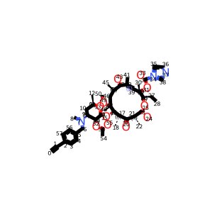 C#Cc1ccc(CN(C)[C@H]2C[C@@H](C)O[C@@H](O[C@@H]3[C@@H](C)C(=O)[C@@H](C)C(=O)O[C@H](CC)[C@@](C)(OC(=O)n4ccnc4)/C=C(\C)C(=O)[C@H](C)C[C@@]3(C)OC)[C@H]2OC(C)=O)cc1